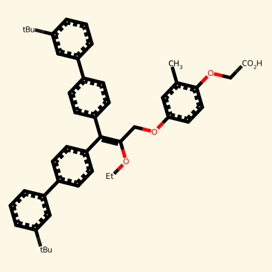 CCOC(COc1ccc(OCC(=O)O)c(C)c1)=C(c1ccc(-c2cccc(C(C)(C)C)c2)cc1)c1ccc(-c2cccc(C(C)(C)C)c2)cc1